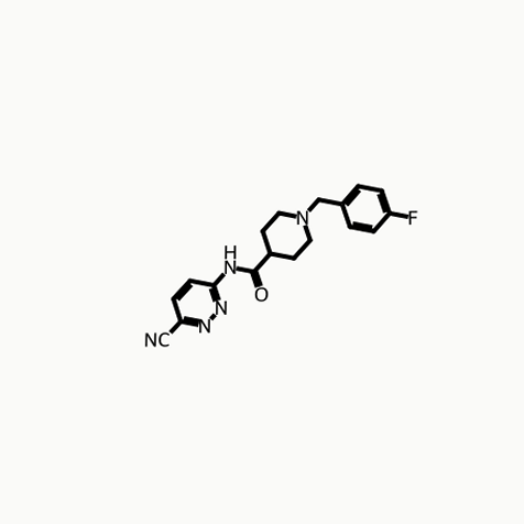 N#Cc1ccc(NC(=O)C2CCN(Cc3ccc(F)cc3)CC2)nn1